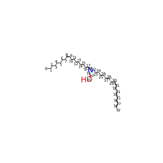 CCCCCCCC/C=C\CCCCCCCCN(CCO)CCCCCCCC/C=C\CCCCCCCC